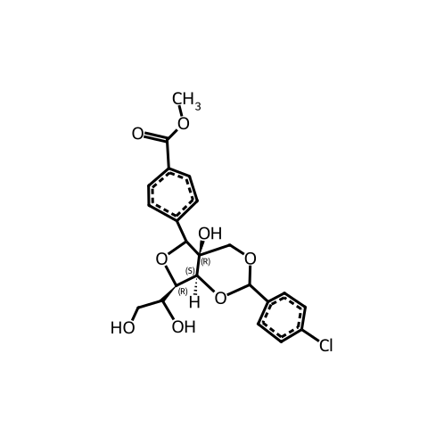 COC(=O)c1ccc(C2O[C@H](C(O)CO)[C@@H]3OC(c4ccc(Cl)cc4)OC[C@@]23O)cc1